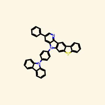 c1ccc(-c2cnc3c4cc5c(cc4n(-c4ccc(-n6c7ccccc7c7ccccc76)cc4)c3c2)sc2ccccc25)cc1